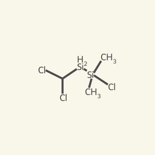 C[Si](C)(Cl)[SiH2]C(Cl)Cl